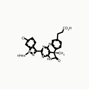 CCCCCCn1nc(-c2nc(N)c3c(n2)NC(=O)[C@@]3(C)c2ccc(CCC(=O)O)cc2)c2ccc(Cl)cc21